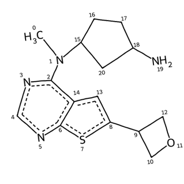 CN(c1ncnc2sc(C3COC3)cc12)C1CCC(N)C1